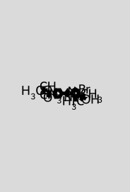 CC(C)(C)OC(=O)N1CCC(c2cn3cc(Br)c(C(C)(C)O)c(F)c3n2)CC1